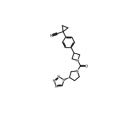 N#CC1(c2ccc(C3CN(C(=O)N4CC[C@@H](n5cnnn5)C4)C3)cc2)CC1